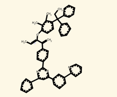 C=C(/C(=C/C)Oc1ccc(C(CC)(c2ccccc2)c2ccccc2)c(C)c1C)c1ccc(-c2nc(-c3ccccc3)cc(-c3cccc(-c4ccccn4)c3)n2)cc1